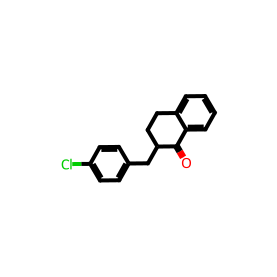 O=C1c2ccccc2CCC1Cc1ccc(Cl)cc1